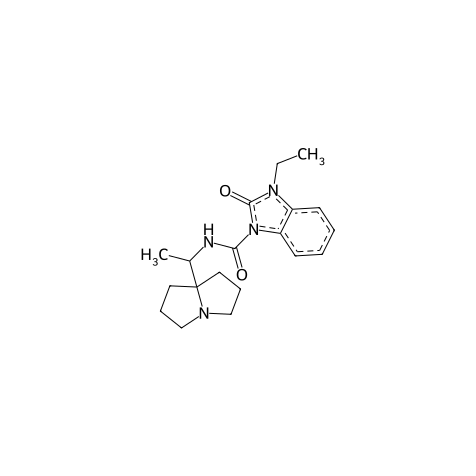 CCn1c(=O)n(C(=O)NC(C)C23CCCN2CCC3)c2ccccc21